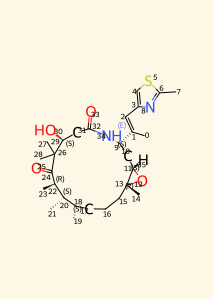 C/C(=C\c1csc(C)n1)[C@@H]1C[C@@H]2O[C@]2(C)CCC[C@H](C)[C@H](C)[C@@H](C)C(=O)C(C)(C)[C@@H](O)CC(=O)N1